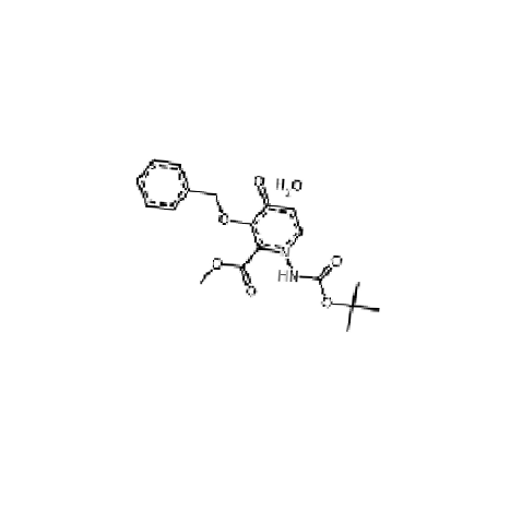 COC(=O)c1c(OCc2ccccc2)c(=O)ccn1NC(=O)OC(C)(C)C.O